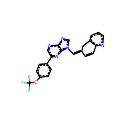 FC(F)(F)Oc1ccc(-c2cnc3ncn(C=C4C=Cc5ncccc5C4)c3n2)cc1